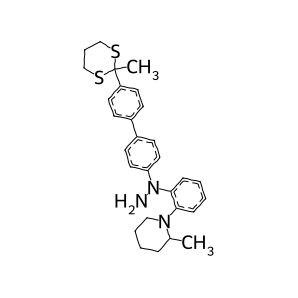 CC1CCCCN1c1ccccc1N(N)c1ccc(-c2ccc(C3(C)SCCCS3)cc2)cc1